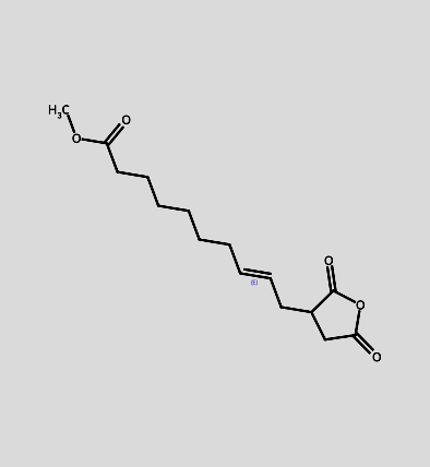 COC(=O)CCCCCC/C=C/CC1CC(=O)OC1=O